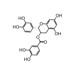 O=C(OC1Cc2c(O)cc(O)cc2O[C@H]1c1ccc(O)c(O)c1)c1ccc(O)c(O)c1